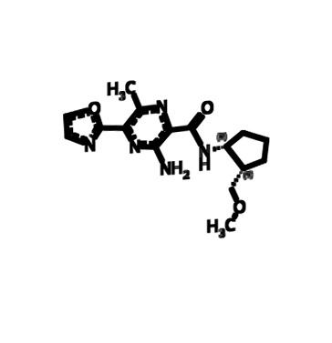 COC[C@H]1CCC[C@H]1NC(=O)c1nc(C)c(-c2ncco2)nc1N